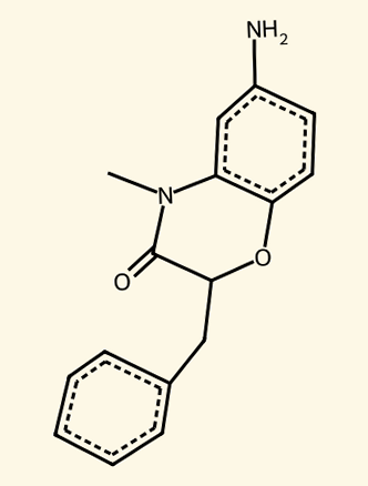 CN1C(=O)C(Cc2ccccc2)Oc2ccc(N)cc21